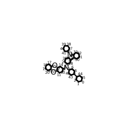 c1ccc(-c2ccc(N(c3ccc4c(c3)Oc3ccccc3O4)c3ccc4c(c3)c3ccccc3n4-c3ccccc3)cc2)cc1